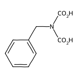 O=C(O)N(Cc1ccccc1)C(=O)O